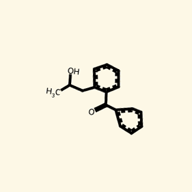 CC(O)Cc1ccccc1C(=O)c1ccccc1